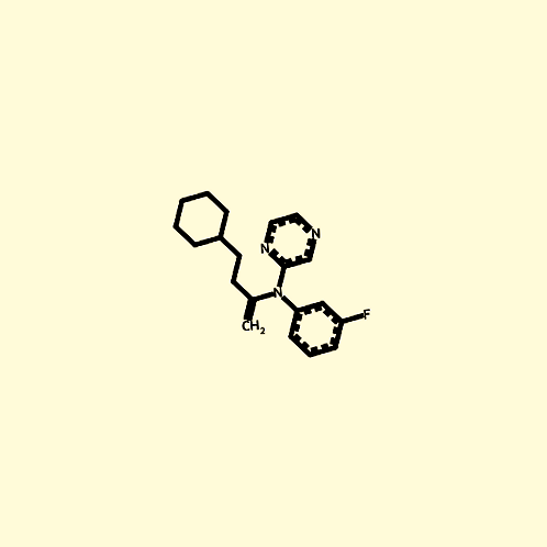 C=C(CCC1CCCCC1)N(c1cccc(F)c1)c1cnccn1